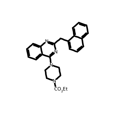 CCOC(=O)N1CCN(c2nc(Cc3cccc4ccccc34)nc3ccccc23)CC1